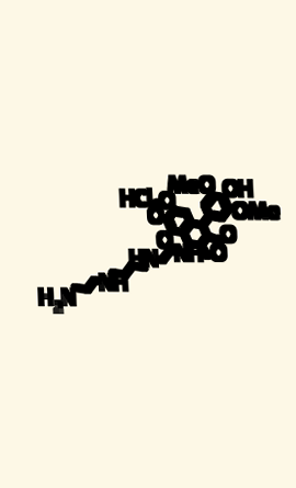 COc1cc(C2c3cc4c(cc3C(NC(=O)CNCCCCNCCCN)C3COC(=O)C23)OCO4)cc(OC)c1O.Cl